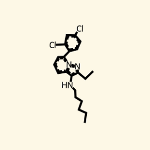 CCCCCCNc1c(CC)nn2c(-c3ccc(Cl)cc3Cl)cccc12